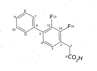 O=C(O)Cc1ccc(-c2ccccc2)c(F)c1F